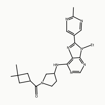 CCn1c(-c2cnc(C)nc2)nc2c(NC3CCN(C(=O)C4CC(C)(C)C4)C3)ncnc21